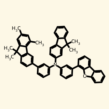 Cc1cc(C)c2c(c1)C(C)(C)c1ccc(-c3cccc(N(c4cccc(-c5cccc6c5oc5ccccc56)c4)c4ccc5c(c4)C(C)(C)c4ccccc4-5)c3)cc1-2